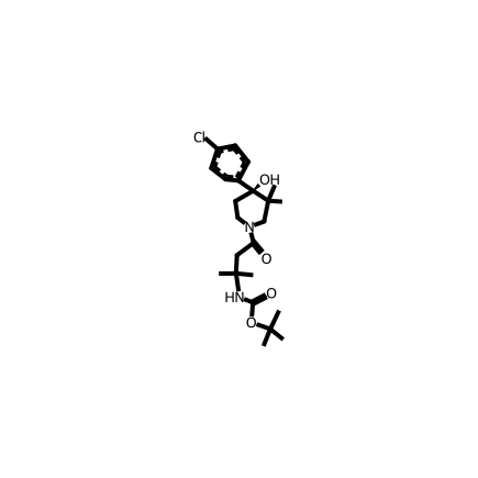 CC(C)(CC(=O)N1CC[C@](O)(c2ccc(Cl)cc2)C(C)(C)C1)NC(=O)OC(C)(C)C